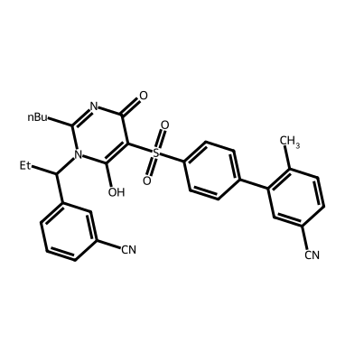 CCCCc1nc(=O)c(S(=O)(=O)c2ccc(-c3cc(C#N)ccc3C)cc2)c(O)n1C(CC)c1cccc(C#N)c1